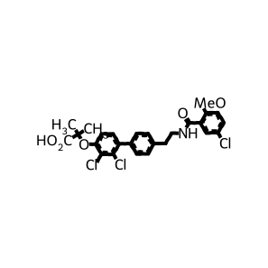 COc1ccc(Cl)cc1C(=O)NCCc1ccc(-c2ccc(OC(C)(C)C(=O)O)c(Cl)c2Cl)cc1